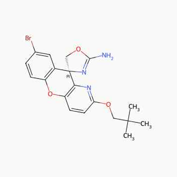 CC(C)(C)COc1ccc2c(n1)[C@@]1(COC(N)=N1)c1cc(Br)ccc1O2